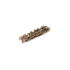 Br[C](Br)C(Br)(Br)C(Br)(Br)C(Br)(Br)C(Br)(Br)C(Br)(Br)C(Br)(Br)C(Br)(Br)C(Br)(Br)C(Br)(Br)C(Br)(Br)C(Br)(Br)C(Br)(Br)C(Br)(Br)C(Br)(Br)C(Br)(Br)Br